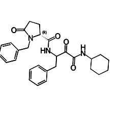 O=C(NC1CCCCC1)C(=O)C(Cc1ccccc1)NC(=O)[C@H]1CCC(=O)N1Cc1ccccc1